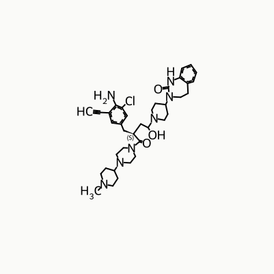 C#Cc1cc(C[C@@H](CC(O)N2CCC(N3CCc4ccccc4NC3=O)CC2)C(=O)N2CCN(C3CCN(C)CC3)CC2)cc(Cl)c1N